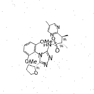 COc1cccc(OC)c1-n1c(NS(=O)(=O)[C@@H](C)[C@H](C)c2ncc(C)cn2)nnc1[C@H]1CCCO1